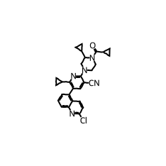 N#Cc1cc(-c2cccc3nc(Cl)ccc23)c(C2CC2)nc1N1CCN(C(=O)C2CC2)C(C2CC2)C1